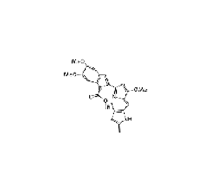 COC1=CC(c2cc3cc(OC)c(OC)cc3n2C(=O)OC(C)(C)C)=NC1=Cc1[nH]c(C)cc1C